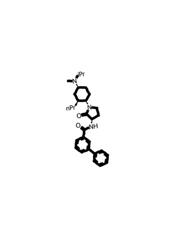 CCC[C@H]1C[C@H](N(C)C(C)C)CC[C@@H]1N1CC[C@H](NC(=O)c2cccc(-c3ccccc3)c2)C1=O